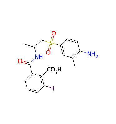 Cc1cc(S(=O)(=O)CC(C)NC(=O)c2cccc(I)c2C(=O)O)ccc1N